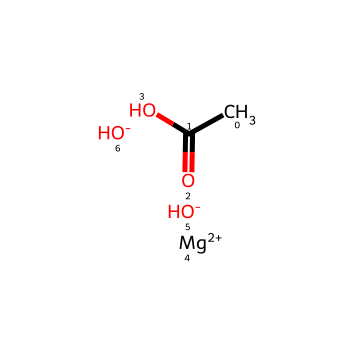 CC(=O)O.[Mg+2].[OH-].[OH-]